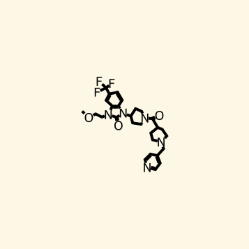 COCCn1c(=O)n(C2CCN(C(=O)C3CCN(Cc4ccncc4)CC3)CC2)c2ccc(C(F)(F)F)cc21